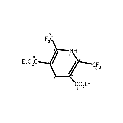 CCOC(=O)C1=C(C(F)(F)F)NC(C(F)(F)F)=C(C(=O)OCC)C1